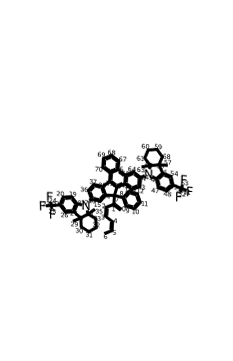 C=C(/C=C\C=C/C)C1(c2ccccc2)c2cc(N3c4ccc(C(F)(F)F)cc4C4(C)CCCCC34C)ccc2-c2c1c1ccc(N3c4ccc(C(F)(F)F)cc4C4(C)CCCCC34C)cc1c1ccccc21